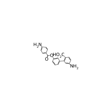 Nc1ccc(C(=O)Oc2cccc(-c3cc(N)ccc3C(=O)O)c2)cc1